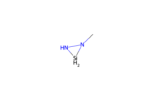 CN1N[SiH2]1